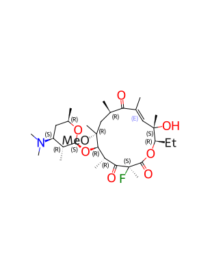 CC[C@H]1OC(=O)[C@@](C)(F)C(=O)[C@H](C)[C@@H](O[C@@H]2O[C@H](C)C[C@H](N(C)C)[C@H]2C)[C@](C)(OC)C[C@@H](C)C(=O)/C(C)=C/[C@]1(C)O